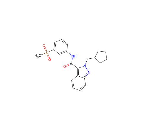 CS(=O)(=O)c1cccc(NC(=O)c2c3ccccc3nn2CC2CCCC2)c1